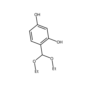 CCOC(OCC)c1ccc(O)cc1O